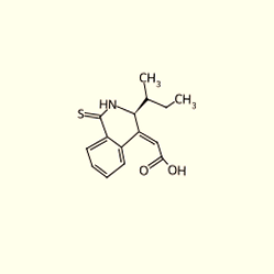 CCC(C)[C@@H]1NC(=S)c2ccccc2C1=CC(=O)O